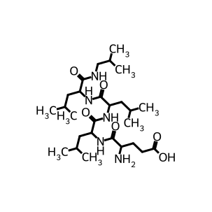 CC(C)CNC(=O)C(CC(C)C)NC(=O)C(CC(C)C)NC(=O)C(CC(C)C)NC(=O)C(N)CCC(=O)O